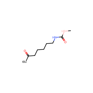 CBC(=O)NCCCCCC(=O)C(C)(C)C